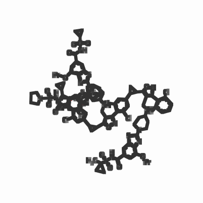 CC(C)Oc1cc(C(=O)NS(=O)(=O)C2CC2)cc2sc(N3CCC(NCc4c(-c5c(Cl)cc(C6CC6c6onc(-c7c(Cl)cccc7Cl)c6CNC6CCN(c7nc8c(OC(C)C)cc(C(=O)NS(=O)(=O)C9(C)CC9)cc8s7)CC6)cc5Cl)noc4C4CC4c4cc(Cl)c(-c5noc(C6CC6)c5CNC5CC6CC(C5)N6c5nc6c(F)cc(C(=O)NS(=O)(=O)N7CCCC7)cc6s5)c(Cl)c4)CC3)nc12